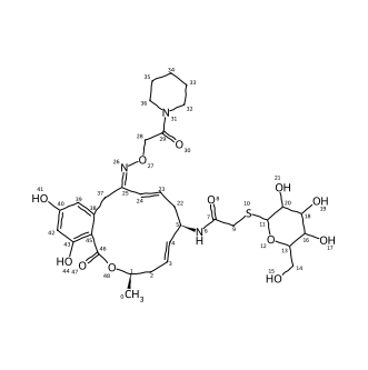 C[C@@H]1C/C=C/[C@H](NC(=O)CSC2OC(CO)C(O)C(O)C2O)C/C=C/C(=N\OCC(=O)N2CCCCC2)Cc2cc(O)cc(O)c2C(=O)O1